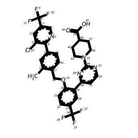 Cc1cc(-c2ncc(C(F)(F)F)cc2Cl)ccc1COc1ccc(C(F)(F)F)cc1-c1ccnc(N2CCC(C(=O)O)CC2)n1